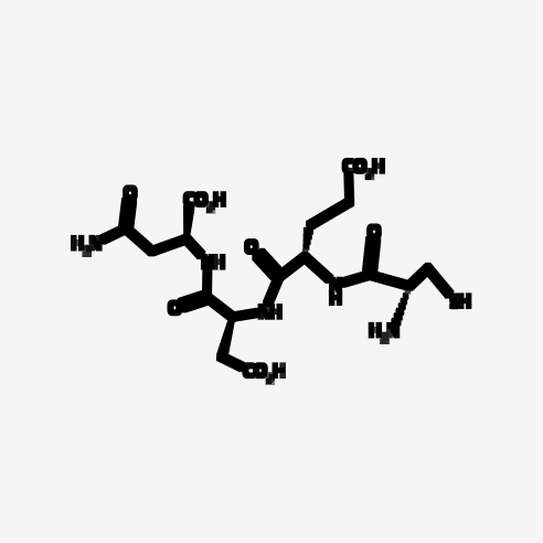 NC(=O)C[C@H](NC(=O)[C@H](CC(=O)O)NC(=O)[C@H](CCC(=O)O)NC(=O)[C@@H](N)CS)C(=O)O